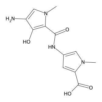 Cn1cc(NC(=O)c2c(O)c(N)cn2C)cc1C(=O)O